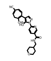 COC1=C(c2cnn(-c3ccc(C(=O)NCC4CCOCC4)cn3)c2O)C=CC(C#N)=CC1